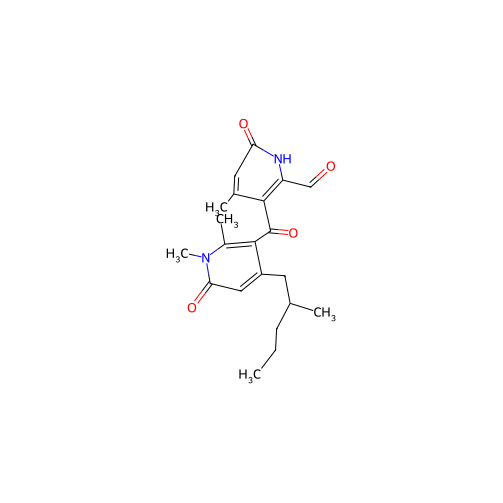 CCCC(C)Cc1cc(=O)n(C)c(C)c1C(=O)c1c(C)cc(=O)[nH]c1C=O